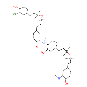 CN(C)C1CC(CC[Si](C)(C)O[Si](C)(C)CCC2CCC([N+](C)(C)C3CC(CC[Si](C)(C)O[Si](C)(C)CCC4CCC(O)C(Cl)C4)CCC3O)C(O)C2)CCC1O